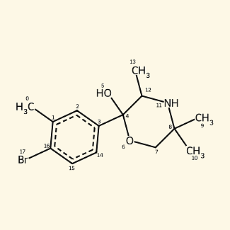 Cc1cc(C2(O)OCC(C)(C)NC2C)ccc1Br